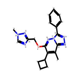 Cc1c(C2CCC2)c(OCc2ncn(C)n2)nn2c(-c3ccccc3)nnc12